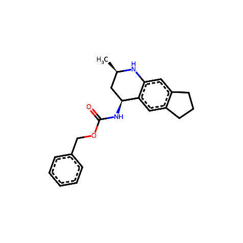 C[C@@H]1C[C@H](NC(=O)OCc2ccccc2)c2cc3c(cc2N1)CCC3